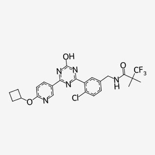 CC(C)(C(=O)NCc1ccc(Cl)c(-c2nc(O)nc(-c3ccc(OC4CCC4)nc3)n2)c1)C(F)(F)F